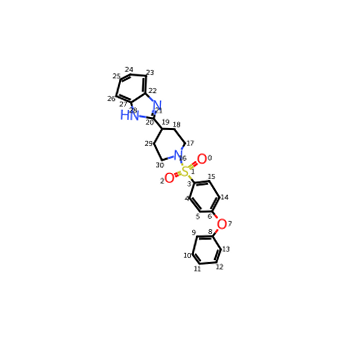 O=S(=O)(c1ccc(Oc2ccccc2)cc1)N1CCC(c2nc3ccccc3[nH]2)CC1